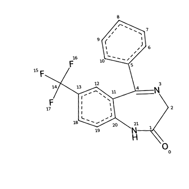 O=C1CN=C(c2ccccc2)c2cc(C(F)(F)F)ccc2N1